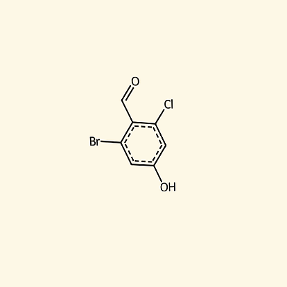 O=Cc1c(Cl)cc(O)cc1Br